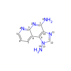 Nc1nc2ncccc2c2c1ncn2N